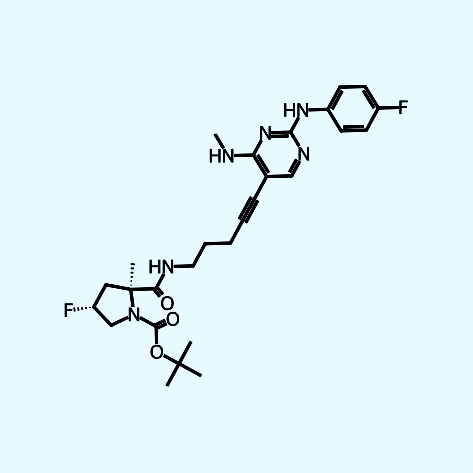 CNc1nc(Nc2ccc(F)cc2)ncc1C#CCCCNC(=O)[C@]1(C)C[C@@H](F)CN1C(=O)OC(C)(C)C